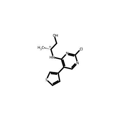 C[C@H](CO)Nc1nc(Cl)ncc1-c1ccsc1